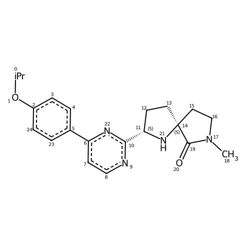 CC(C)Oc1ccc(-c2ccnc([C@@H]3CC[C@@]4(CCN(C)C4=O)N3)n2)cc1